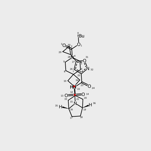 CC(C)(C)OC(=O)N1CCC2(CC1)CN(S(=O)(=O)N1[C@@H]3CC[C@H]1CC(NC(=O)c1cc(C4CC4)on1)C3)C2